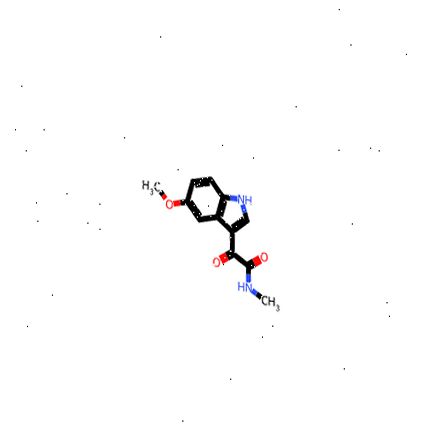 CNC(=O)C(=O)c1c[nH]c2ccc(OC)cc12